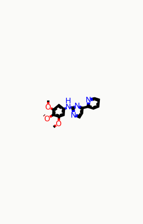 COc1cc(Nc2nccc(-c3ccccn3)n2)cc(OC)c1OC